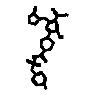 CCCC(=O)c1cc(C#N)c(N2CCC(C(=O)NS(=O)(=O)Cc3ccc(C)cc3)CC2)nc1CN1CCCC1=O